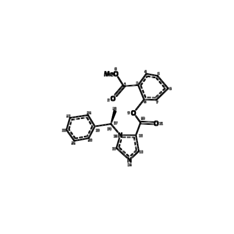 COC(=O)c1ccccc1OC(=O)c1cncn1[C@H](C)c1ccccc1